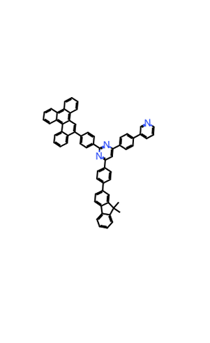 CC1(C)c2ccccc2-c2ccc(-c3ccc(-c4cc(-c5ccc(-c6cccnc6)cc5)nc(-c5ccc(-c6cc7c8ccccc8c8ccccc8c7c7ccccc67)cc5)n4)cc3)cc21